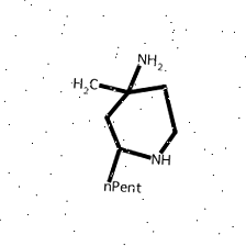 [CH2]C1(N)CCNC(CCCCC)C1